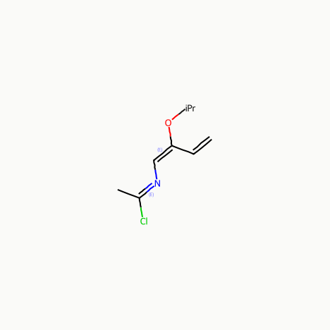 C=C/C(=C\N=C(/C)Cl)OC(C)C